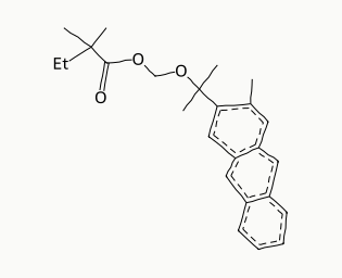 CCC(C)(C)C(=O)OCOC(C)(C)c1cc2cc3ccccc3cc2cc1C